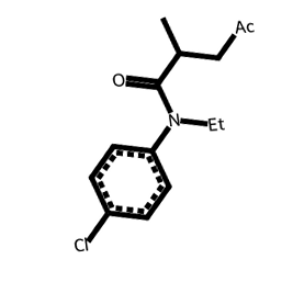 CCN(C(=O)C(C)CC(C)=O)c1ccc(Cl)cc1